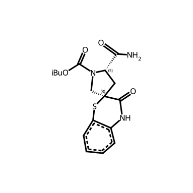 CC(C)COC(=O)N1C[C@@]2(C[C@H]1C(N)=O)Sc1ccccc1NC2=O